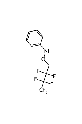 FC(F)(F)C(F)(F)C(F)(F)CONc1ccccc1